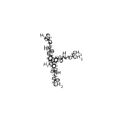 C=CC(=C)OCCNC(=O)Oc1ccc(C(C)(c2ccc(OC(=O)NCCOC(=O)C=C)cc2)c2ccc(OC(=O)NCCOC(=O)C=C)cc2)cc1